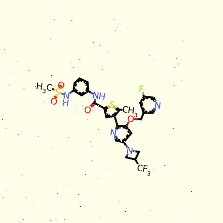 Cc1sc(C(=O)Nc2cccc(NS(C)(=O)=O)c2)cc1-c1ncc(N2CC(C(F)(F)F)C2)cc1OCc1cncc(F)c1